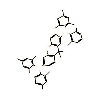 Cc1cc(C)c(B(c2ccc3c(c2)C(C)(C)c2ccc(B(c4c(C)cc(C)cc4C)c4c(C)cc(C)cc4C)cc2O3)c2c(C)cccc2C)c(C)c1